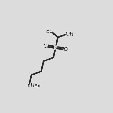 CCCCCCCCCCS(=O)(=O)C(O)CC